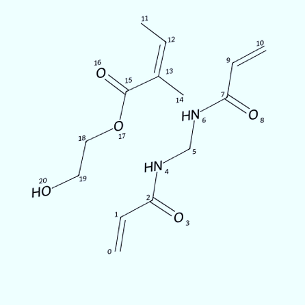 C=CC(=O)NCNC(=O)C=C.CC=C(C)C(=O)OCCO